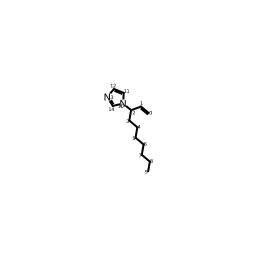 C=CC(CCCCCCC)n1ccnc1